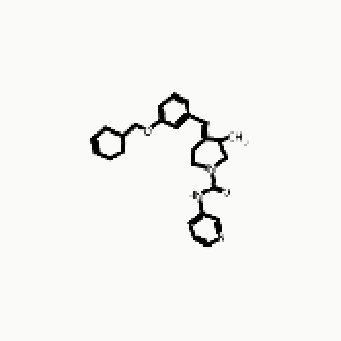 CC1CN(C(=O)Nc2cccnc2)CC/C1=C\c1cccc(OCC2CC=CCC2)c1